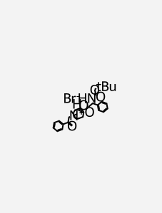 CC(C)(C)OC(=O)N[C@@H](C(=O)O[C@H]1C[N+]2(CC(=O)c3ccccc3)CCC1CC2)c1ccccc1.[Br-]